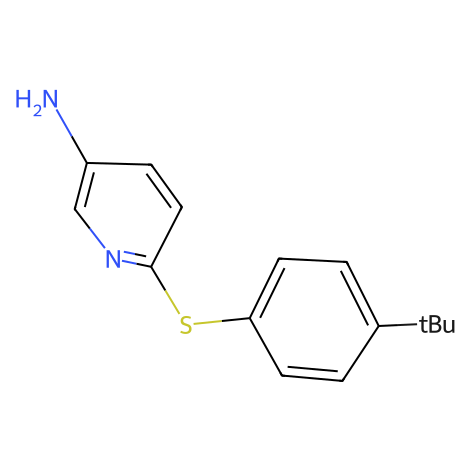 CC(C)(C)c1ccc(Sc2ccc(N)cn2)cc1